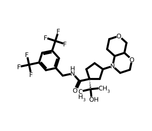 CC(C)(O)[C@]1(C(=O)NCc2cc(C(F)(F)F)cc(C(F)(F)F)c2)CCC(N2CCOC3COCCC32)C1